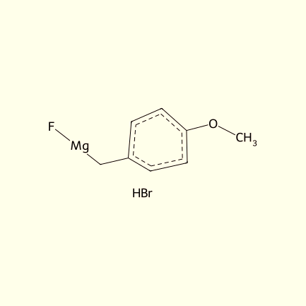 Br.COc1ccc([CH2][Mg][F])cc1